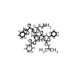 CC(C)COC(=O)N[C@H](CCc1ccccc1)C(=O)N1C[C@H](OC(=O)N2CCCCC2)C[C@H]1C(=O)N[C@@H](CCCCN)C(=O)c1nc2ccccc2o1